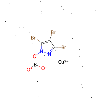 [Cu+2].[O-]B([O-])On1nc(Br)c(Br)c1Br